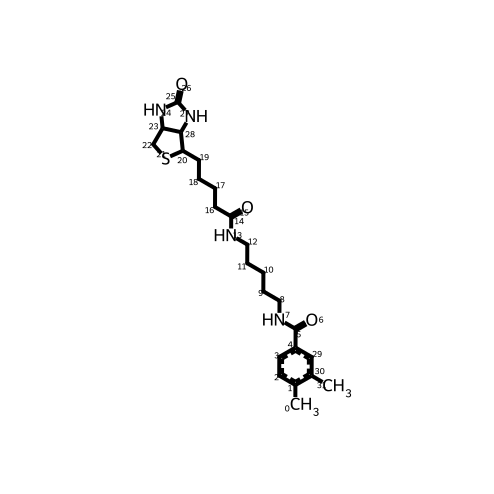 Cc1ccc(C(=O)NCCCCCNC(=O)CCCCC2SCC3NC(=O)NC32)cc1C